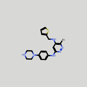 CC(=O)c1nnc(Nc2ccc(N3CCNCC3)cc2)cc1NCc1cccs1